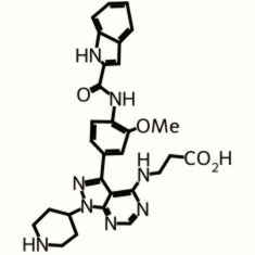 COc1cc(-c2nn(C3CCNCC3)c3ncnc(NCCC(=O)O)c23)ccc1NC(=O)c1cc2ccccc2[nH]1